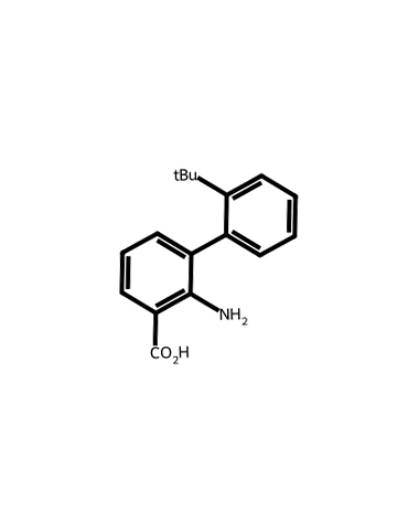 CC(C)(C)c1ccccc1-c1cccc(C(=O)O)c1N